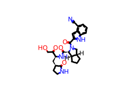 N#Cc1cccc2[nH]c(C(=O)N3C[C@@H]4CCC[C@@H]4[C@H]3C(=O)N[C@@H](C[C@@H]3CCNC3=O)C(=O)CO)cc12